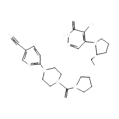 Cc1c(N2CCC[C@H]2CO[C@@H]2CCN(C(=O)N3CCN(c4ccc(C#N)cn4)CC3)C2)cn[nH]c1=O